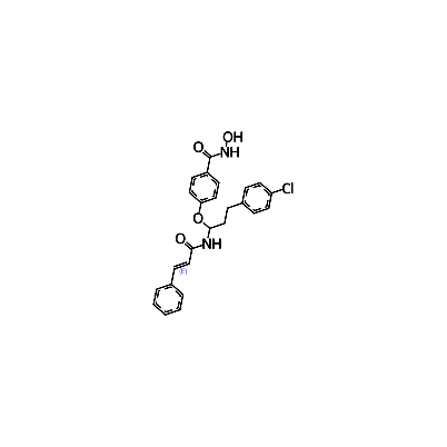 O=C(/C=C/c1ccccc1)NC(CCc1ccc(Cl)cc1)Oc1ccc(C(=O)NO)cc1